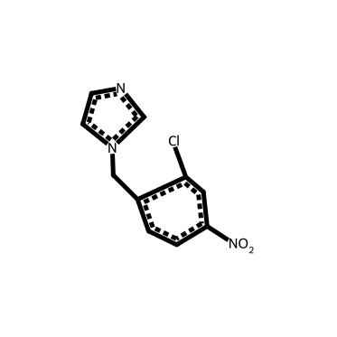 O=[N+]([O-])c1ccc(Cn2ccnc2)c(Cl)c1